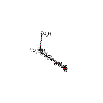 O=C(O)CCCCCCCCCCCCCCCCC(=O)N[C@@H](CCC(=O)NCCOCCOCC(=O)NCCOCCOCC(=O)NCCOCCOCC(=O)ON1C(=O)CCC1=O)C(=O)O